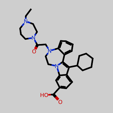 CCN1CCCN(C(=O)CN2CCn3c(c(C4CCCCC4)c4ccc(C(=O)O)cc43)-c3ccccc32)CC1